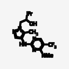 CNc1nc(Nc2cnn(CC(O)C(C)C)c2C)ncc1C(F)(F)F